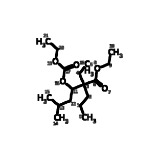 CCCC(CC)(C(=O)OCC)C(CC(C)C)OC(=O)OCC